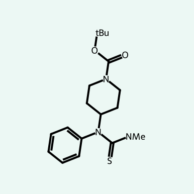 CNC(=S)N(c1ccccc1)C1CCN(C(=O)OC(C)(C)C)CC1